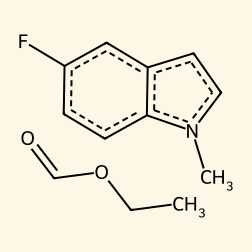 CCOC=O.Cn1ccc2cc(F)ccc21